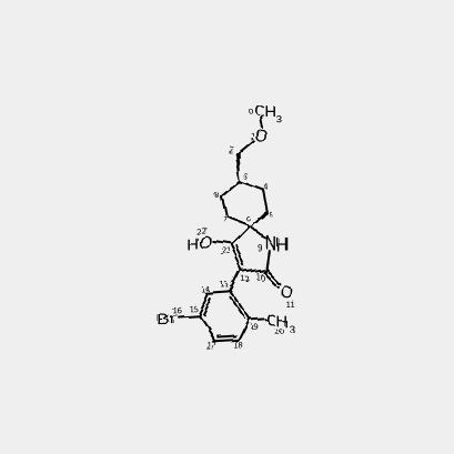 COC[C@H]1CC[C@@]2(CC1)NC(=O)C(c1cc(Br)ccc1C)=C2O